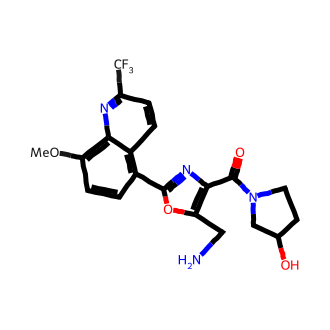 COc1ccc(-c2nc(C(=O)N3CCC(O)C3)c(CN)o2)c2ccc(C(F)(F)F)nc12